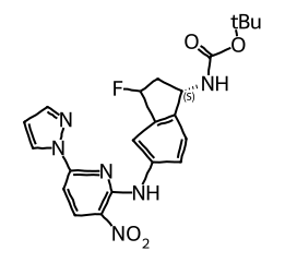 CC(C)(C)OC(=O)N[C@H]1CC(F)c2cc(Nc3nc(-n4cccn4)ccc3[N+](=O)[O-])ccc21